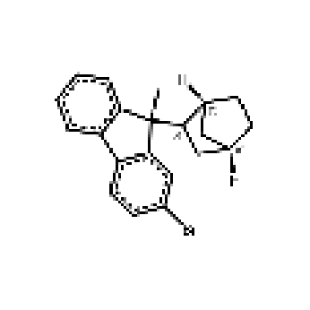 CC1([C@@H]2C[C@H]3CC[C@@H]2C3)c2ccccc2-c2ccc(Br)cc21